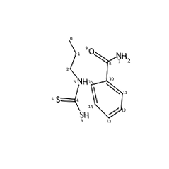 CCCNC(=S)S.NC(=O)c1ccccc1